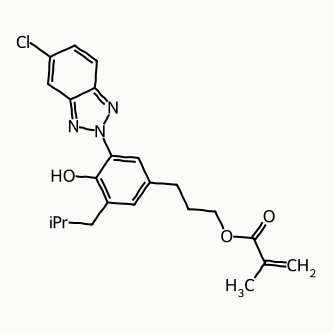 C=C(C)C(=O)OCCCc1cc(CC(C)C)c(O)c(-n2nc3ccc(Cl)cc3n2)c1